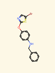 Brc1cnc(Oc2ccc(NCc3ccccc3)cc2)s1